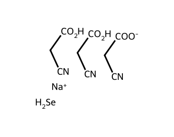 N#CCC(=O)O.N#CCC(=O)O.N#CCC(=O)[O-].[Na+].[SeH2]